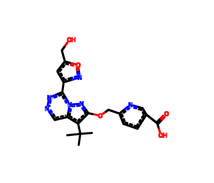 CC(C)(C)c1c(OCc2ccc(C(=O)O)cn2)nn2c(-c3cc(CO)on3)nncc12